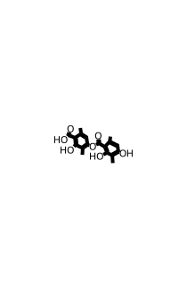 Cc1cc(O)c(C)c(O)c1C(=O)Oc1cc(C)c(C(=O)O)c(O)c1C